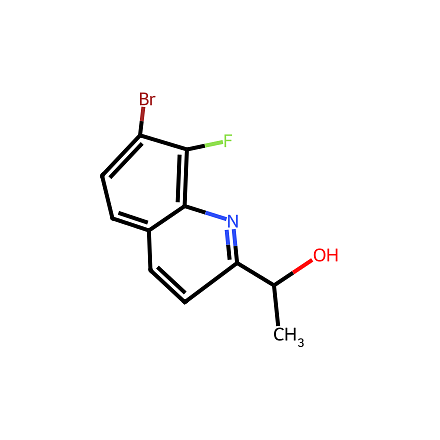 CC(O)c1ccc2ccc(Br)c(F)c2n1